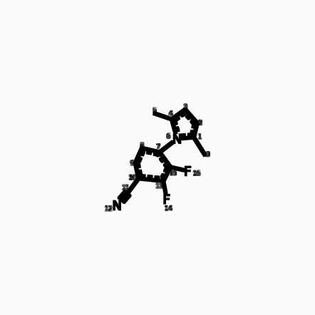 Cc1ccc(C)n1-c1ccc(C#N)c(F)c1F